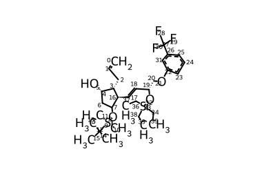 C=CC[C@H]1[C@@H](O)CC(O[Si](C)(C)C(C)(C)C)[C@@H]1/C=C/[C@H](COc1cccc(C(F)(F)F)c1)O[Si](CC)(CC)CC